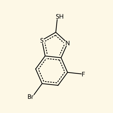 Fc1cc(Br)cc2sc(S)nc12